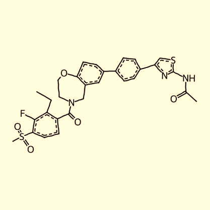 CCc1c(C(=O)N2CCOc3ccc(-c4ccc(-c5csc(NC(C)=O)n5)cc4)cc3C2)ccc(S(C)(=O)=O)c1F